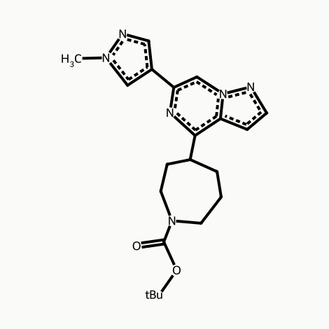 Cn1cc(-c2cn3nccc3c(C3CCCN(C(=O)OC(C)(C)C)CC3)n2)cn1